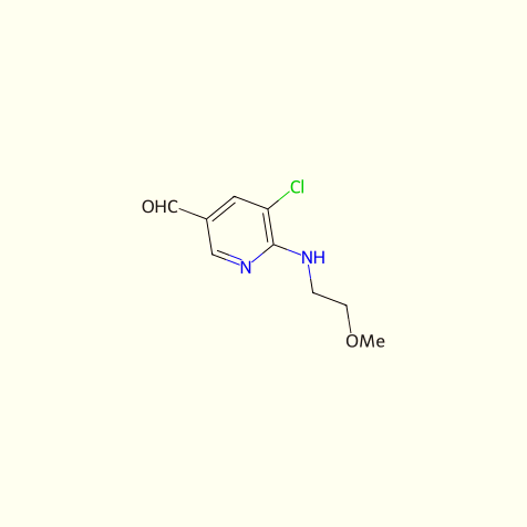 COCCNc1ncc(C=O)cc1Cl